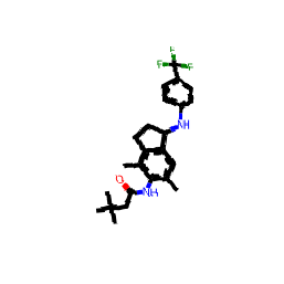 Cc1cc2c(c(C)c1NC(=O)CC(C)(C)C)CCC2Nc1ccc(C(F)(F)F)cc1